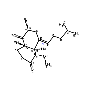 CO[C@@H]1C(=O)CC[C@@H]2C(=O)[C@@H](F)C/C(=C\CCC(C)C)[C@H]21